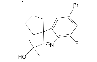 CC(C)(O)C1=Nc2c(F)cc(Br)cc2C12CCCC2